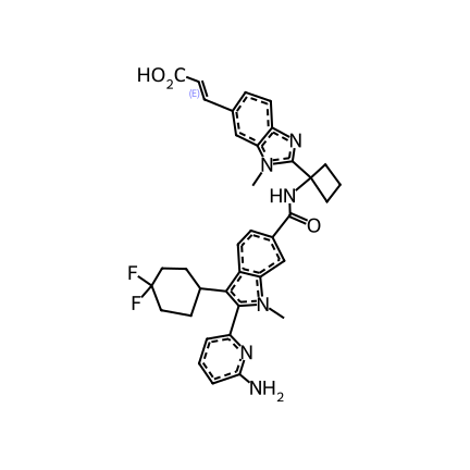 Cn1c(C2(NC(=O)c3ccc4c(C5CCC(F)(F)CC5)c(-c5cccc(N)n5)n(C)c4c3)CCC2)nc2ccc(/C=C/C(=O)O)cc21